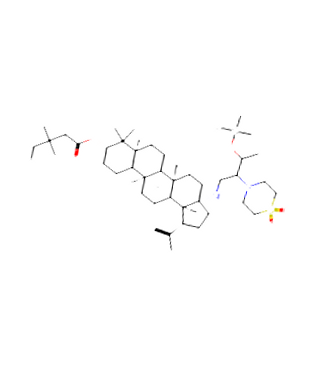 C=C(C)[C@@H]1CC[C@]2(NCC(C(C)O[Si](C)(C)C(C)(C)C)N3CCS(=O)(=O)CC3)CC[C@]3(C)[C@H](CC[C@@H]4[C@@]5(C)CC[C@H](OC(=O)CC(C)(C)CC(=O)OCC)C(C)(C)[C@@H]5CC[C@]43C)[C@@H]12